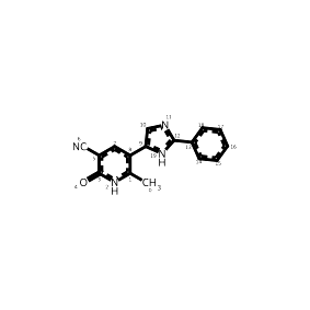 Cc1[nH]c(=O)c(C#N)cc1-c1cnc(-c2ccccc2)[nH]1